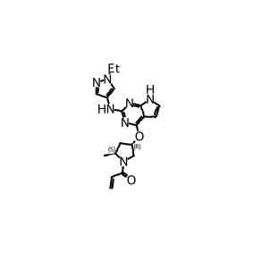 C=CC(=O)N1C[C@H](Oc2nc(Nc3cnn(CC)c3)nc3[nH]ccc23)C[C@@H]1C